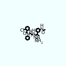 CC(=O)Nc1cccc(-c2cnc(N)nc2N[C@H](C)c2nc3cccc(Cl)c3c(=O)n2-c2ccccc2)c1